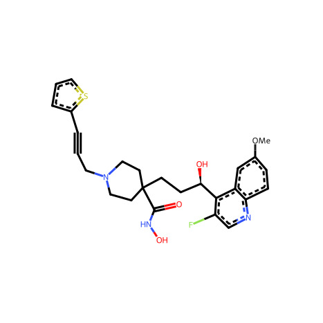 COc1ccc2ncc(F)c([C@H](O)CCC3(C(=O)NO)CCN(CC#Cc4cccs4)CC3)c2c1